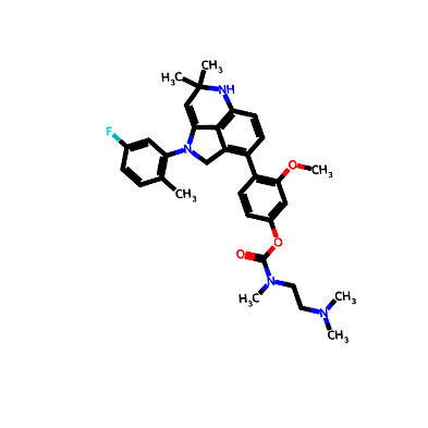 COc1cc(OC(=O)N(C)CCN(C)C)ccc1-c1ccc2c3c1CN(c1cc(F)ccc1C)C3=CC(C)(C)N2